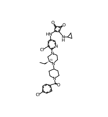 CC[C@H]1CN(c2ncc(Nc3c(NC4CC4)c(=O)c3=O)cc2Cl)CCN1C1CCN(C(=O)c2ccc(Cl)cc2)CC1